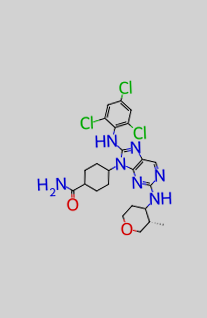 C[C@@H]1COCCC1Nc1ncc2nc(Nc3c(Cl)cc(Cl)cc3Cl)n(C3CCC(C(N)=O)CC3)c2n1